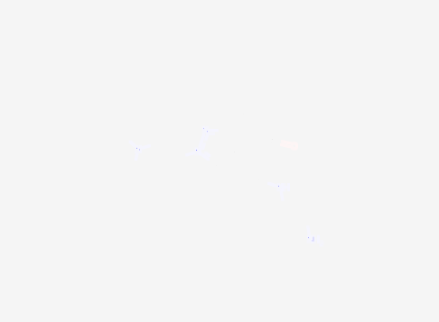 CCN(CC)CCn1nc2c3c(c(NCCN)ccc31)C(=O)c1ccccc1-2